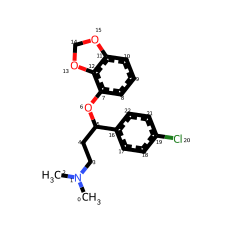 CN(C)CCC(Oc1cccc2c1OCO2)c1ccc(Cl)cc1